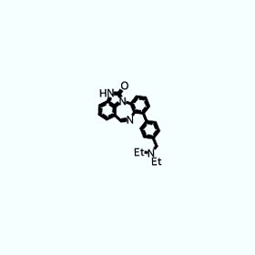 CCN(CC)Cc1ccc(-c2cccc3c2N=Cc2cccc4[nH]c(=O)n-3c24)cc1